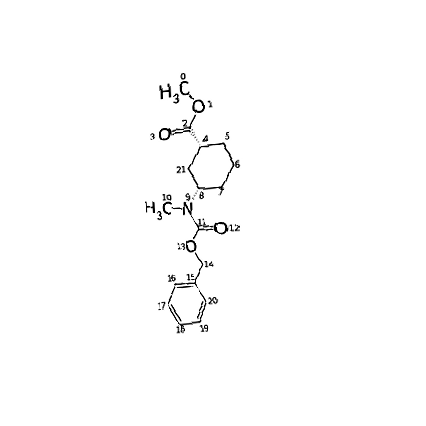 COC(=O)[C@@H]1CCC[C@H](N(C)C(=O)OCc2ccccc2)C1